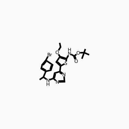 CCOc1cc(-c2cc(NC(C)c3ccc(Br)cc3)ncn2)sc1NC(=O)OC(C)(C)C